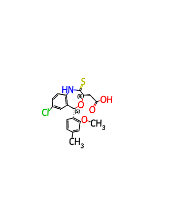 COc1cc(C)ccc1[C@H]1O[C@H](CC(=O)O)C(=S)Nc2ccc(Cl)cc21